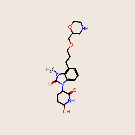 Cn1c(=O)n(C2CCC(O)NC2=O)c2cccc(CCCOC[C@@H]3CNCCO3)c21